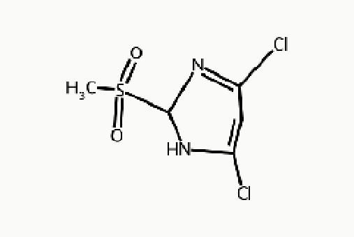 CS(=O)(=O)C1N=C(Cl)C=C(Cl)N1